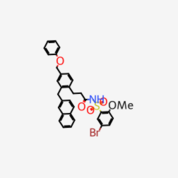 COc1ccc(Br)cc1S(=O)(=O)NC(=O)CCc1ccc(COc2ccccc2)cc1Cc1ccc2ccccc2c1